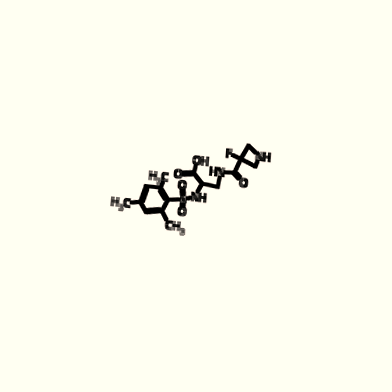 Cc1cc(C)c(S(=O)(=O)NC(CNC(=O)C2(F)CNC2)C(=O)O)c(C)c1